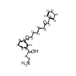 NCCC(O)c1cccc(OCCCCCOCC2=CCCC=C2)c1